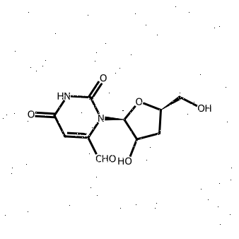 O=Cc1cc(=O)[nH]c(=O)n1[C@H]1O[C@@H](CO)CC1O